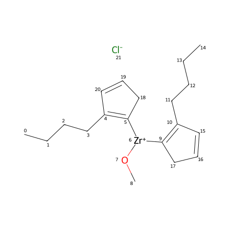 CCCCC1=[C]([Zr+]([O]C)[C]2=C(CCCC)C=CC2)CC=C1.[Cl-]